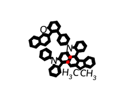 CC1(C)c2ccccc2-c2c(-c3ccccc3N(c3ccc(-c4cccc5oc6c7ccccc7ccc6c45)cc3)c3ccc4c5ccccc5n(-c5ccccc5)c4c3)cccc21